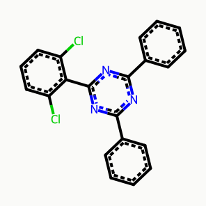 Clc1cccc(Cl)c1-c1nc(-c2ccccc2)nc(-c2ccccc2)n1